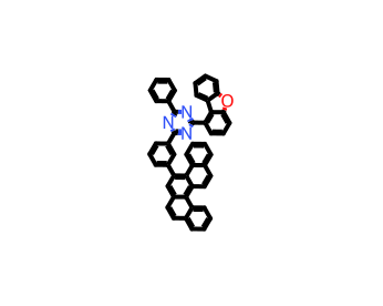 c1ccc(-c2nc(-c3cccc(-c4cc5ccc6ccccc6c5c5ccc6ccccc6c45)c3)nc(-c3cccc4oc5ccccc5c34)n2)cc1